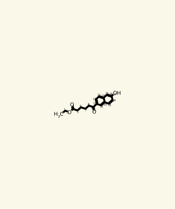 CCOC(=O)CCCCC(=O)c1ccc2cc(O)ccc2c1